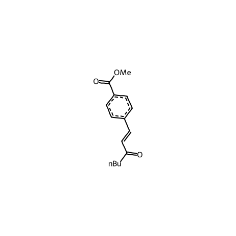 CCCCC(=O)C=Cc1ccc(C(=O)OC)cc1